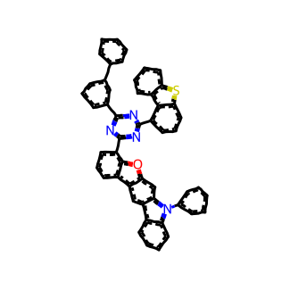 c1ccc(-c2cccc(-c3nc(-c4cccc5c4oc4cc6c(cc45)c4ccccc4n6-c4ccccc4)nc(-c4cccc5sc6ccccc6c45)n3)c2)cc1